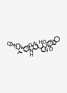 C=C(C)[C@H]1CN(C2COC2)CCN1c1ccc(Nc2cc(-c3ccnc(-n4ccn5c6c(cc5c4=O)CCCC6)c3CO)cn(C)c2=O)nc1